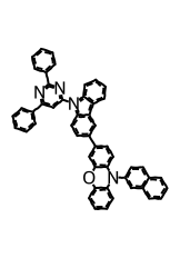 c1ccc(-c2cc(-n3c4ccccc4c4cc(-c5ccc6c(c5)Oc5ccccc5N6c5ccc6ccccc6c5)ccc43)nc(-c3ccccc3)n2)cc1